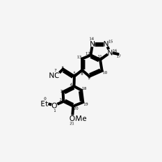 CCOc1cc(C(=CC#N)c2ccc3c(c2)nnn3C)ccc1OC